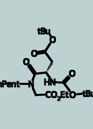 CCCCCN(CC(=O)OCC)C(=O)[C@H](CC(=O)OC(C)(C)C)NC(=O)OC(C)(C)C